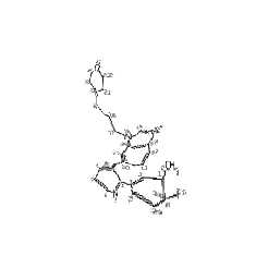 CC1C=C(c2ncccc2-c2ccc3ncn(CCCN4CCOCC4)c3c2)C=C[C@@H]1F